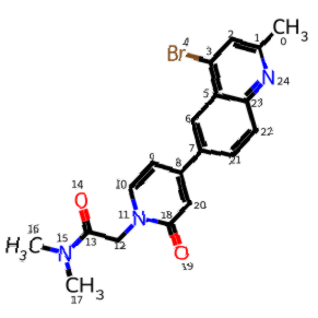 Cc1cc(Br)c2cc(-c3ccn(CC(=O)N(C)C)c(=O)c3)ccc2n1